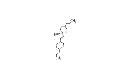 CCCC1CCC(CCC2(C#N)CCC(CCC)CC2)CC1